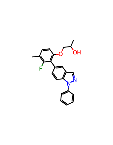 Cc1ccc(OCC(C)O)c(-c2ccc3c(cnn3-c3ccccc3)c2)c1F